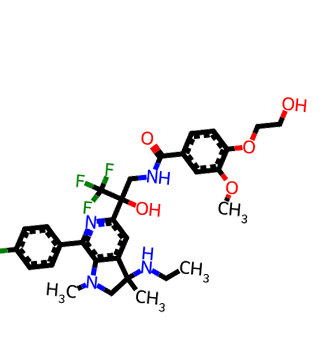 CCNC1(C)CN(C)c2c1cc(C(O)(CNC(=O)c1ccc(OCCO)c(OC)c1)C(F)(F)F)nc2-c1ccc(F)cc1